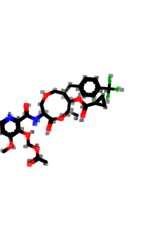 COc1ccnc(C(=O)N[C@H]2COC[C@H](Cc3ccc(C(F)(F)F)cc3)[C@@H](OC(=O)C3CC3)[C@H](C)OC2=O)c1OCOC(C)=O